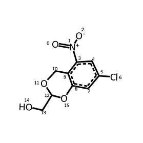 O=[N+]([O-])c1cc(Cl)cc2c1COC(CO)O2